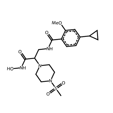 COc1cc(C2CC2)ccc1C(=O)NCC(C(=O)NO)N1CCN(S(C)(=O)=O)CC1